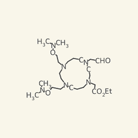 CCOC(=O)CN1CCCN(CCON(C)C)CCN(CCON(C)C)CCCN(CC=O)CC1